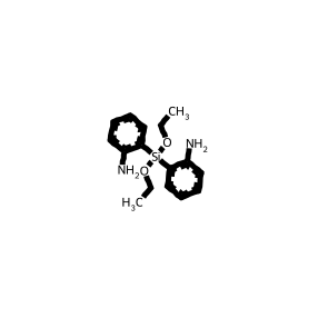 CCO[Si](OCC)(c1ccccc1N)c1ccccc1N